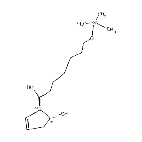 C[Si](C)(C)OCCCCCCC(O)[C@@H]1C=CC[C@H]1O